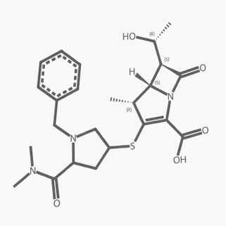 C[C@@H](O)[C@H]1C(=O)N2C(C(=O)O)=C(SC3CC(C(=O)N(C)C)N(Cc4ccccc4)C3)[C@H](C)[C@H]12